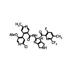 COc1cnc(Cl)cc1-c1cc(C)ncc1C(=O)NC1=NC2=C(CNC2)[SH]1C(=O)c1nc(C(F)(F)F)c(C)cc1F